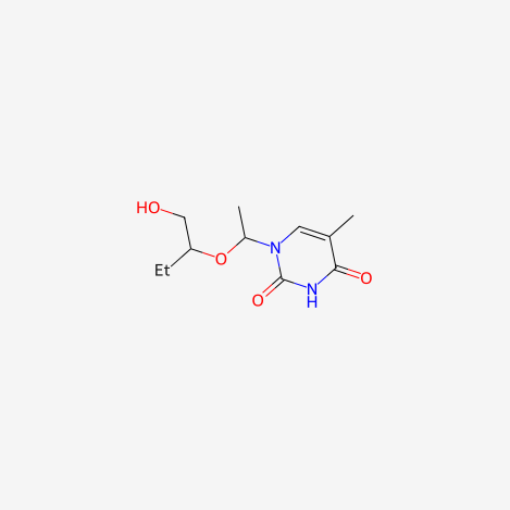 CCC(CO)OC(C)n1cc(C)c(=O)[nH]c1=O